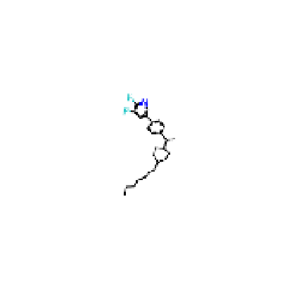 CCCCCCCC1CCC(C(C)c2ccc(-c3cnc(F)c(F)c3)cc2)CC1